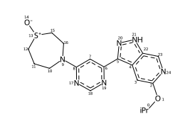 CC(C)Oc1cc2c(-c3cc(N4CCC[S+]([O-])CC4)ncn3)n[nH]c2cn1